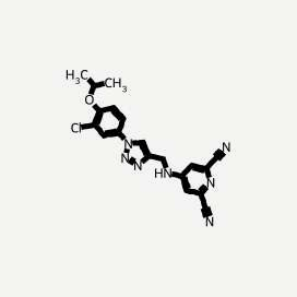 CC(C)Oc1ccc(-n2cc(CNc3cc(C#N)nc(C#N)c3)nn2)cc1Cl